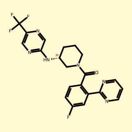 O=C(c1ccc(F)cc1-c1ncccn1)N1CCC[C@@H](Nc2cnc(C(F)(F)F)cn2)C1